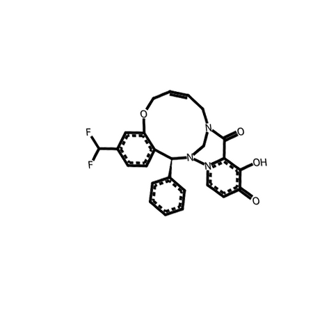 O=C1c2c(O)c(=O)ccn2N2CN1C/C=C\COc1cc(C(F)F)ccc1[C@@H]2c1ccccc1